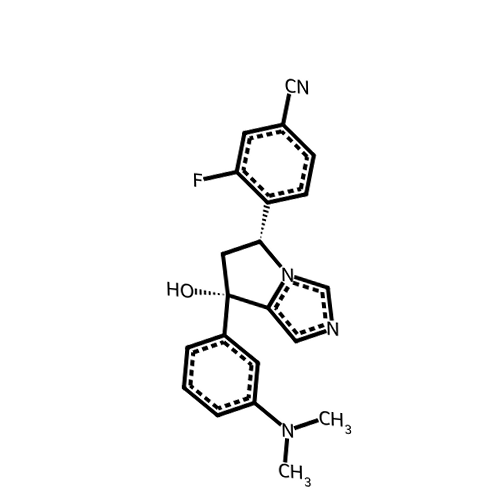 CN(C)c1cccc([C@@]2(O)C[C@H](c3ccc(C#N)cc3F)n3cncc32)c1